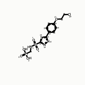 O=P(O)(O)CNS(=O)(=O)c1nnc(-c2ccc(OCCCl)cc2)s1